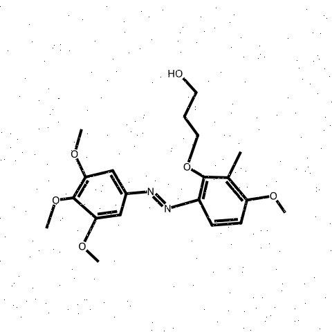 COc1ccc(N=Nc2cc(OC)c(OC)c(OC)c2)c(OCCCO)c1C